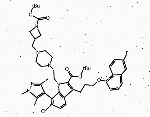 Cc1nn(C)c(C)c1-c1c(Cl)ccc2c(CCCOc3cccc4cc(F)ccc34)c(C(=O)OC(C)(C)C)n(CCN3CCN(CC4CN(C(=O)OC(C)(C)C)C4)CC3)c12